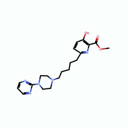 COC(=O)c1nc(CCCCCN2CCN(c3ncccn3)CC2)ccc1O